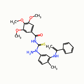 C=C(Nc1cc(N(N)C(=S)NC(=O)c2cc(OC)c(OC)c(OC)c2)ccc1C)c1ccccc1